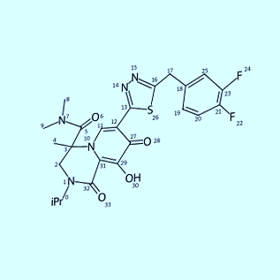 CC(C)N1CC(C)(C(=O)N(C)C)n2cc(-c3nnc(Cc4ccc(F)c(F)c4)s3)c(=O)c(O)c2C1=O